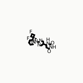 O=c1cc(-c2cnc(NC[C@]3(c4ncccc4F)C[C@H](F)C3)nc2)[nH]c(=O)[nH]1